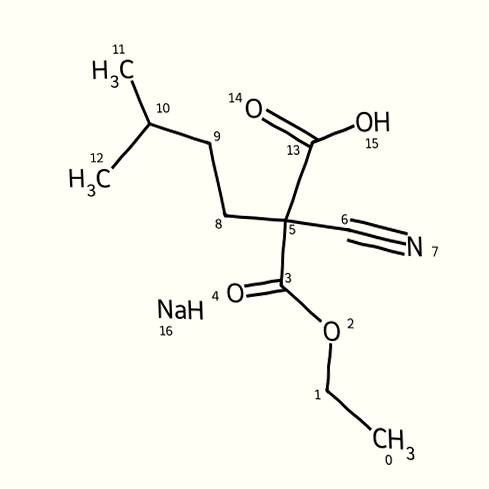 CCOC(=O)C(C#N)(CCC(C)C)C(=O)O.[NaH]